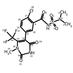 CN(C)S(=O)(=O)NC(=O)c1cc(-c2c(C(F)(F)F)n(C)c(=O)[nH]c2=O)ccc1Cl